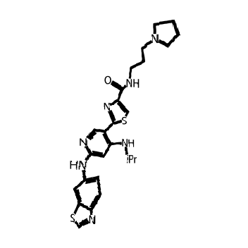 CC(C)Nc1cc(Nc2ccc3ncsc3c2)ncc1-c1nc(C(=O)NCCCN2CCCC2)cs1